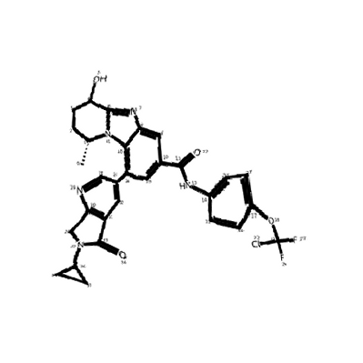 C[C@@H]1CCC(O)c2nc3cc(C(=O)Nc4ccc(OC(F)(F)Cl)cc4)cc(-c4cnc5c(c4)C(=O)N(C4CC4)C5)c3n21